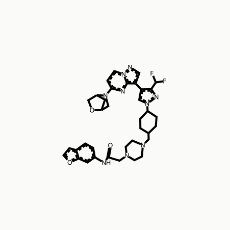 O=C(CN1CCN(CC2CCC(n3cc(-c4cnn5ccc(N6CC7CC6CO7)nc45)c(C(F)F)n3)CC2)CC1)Nc1ccc2ccoc2c1